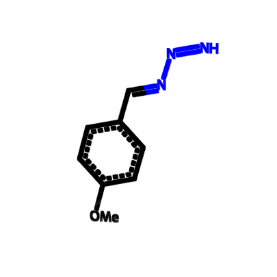 COc1ccc(C=NN=N)cc1